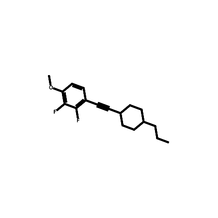 CCCC1CCC(C#Cc2ccc(OC)c(F)c2F)CC1